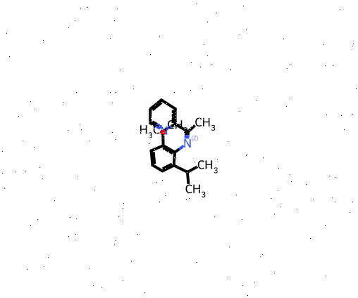 C/C(=N/c1c(C(C)C)cccc1C(C)C)c1ccccn1